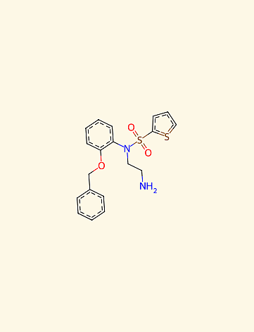 NCCN(c1ccccc1OCc1ccccc1)S(=O)(=O)c1cccs1